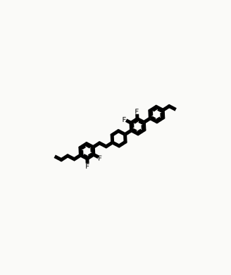 CCCCc1ccc(CCC2CCC(c3ccc(-c4ccc(CC)cc4)c(F)c3F)CC2)c(F)c1F